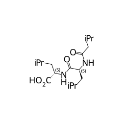 CC(C)CC(=O)N[C@@H](CC(C)C)C(=O)N[C@@H](CC(C)C)C(=O)O